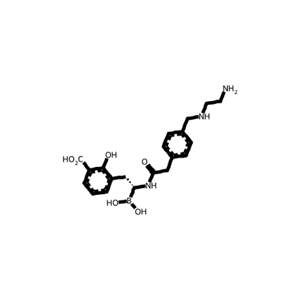 NCCNCc1ccc(CC(=O)N[C@@H](Cc2cccc(C(=O)O)c2O)B(O)O)cc1